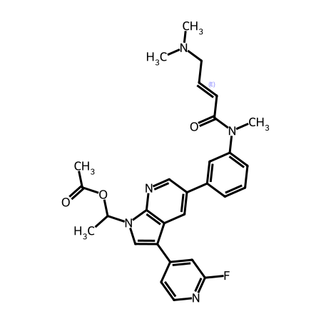 CC(=O)OC(C)n1cc(-c2ccnc(F)c2)c2cc(-c3cccc(N(C)C(=O)/C=C/CN(C)C)c3)cnc21